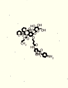 C=CCOC(=O)N1c2cc(OCCCC(=O)Nc3cc(C(=O)Nc4ccc(N)cc4)n(C)c3)c(O[C@@H]3O[C@H](CO)[C@@H](O)[C@H](O)[C@H]3O)cc2C(=O)N2CCCC[C@H]2C1OC1CCCCO1